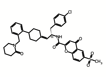 CS(=O)(=O)c1ccc2oc(C(=O)N[C@H](C=C3CCC(c4ccccc4CN4CCCCC4=O)CC3)Cc3ccc(Cl)cc3)cc(=O)c2c1